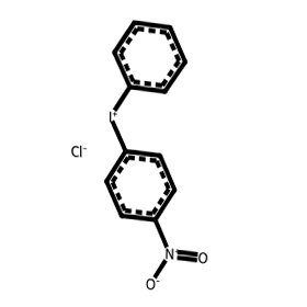 O=[N+]([O-])c1ccc([I+]c2ccccc2)cc1.[Cl-]